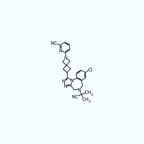 CC(C)(C#N)N1Cc2cc(Cl)ccc2-n2c(nnc2C2CC3(C2)CN(c2cccc(C#N)n2)C3)C1